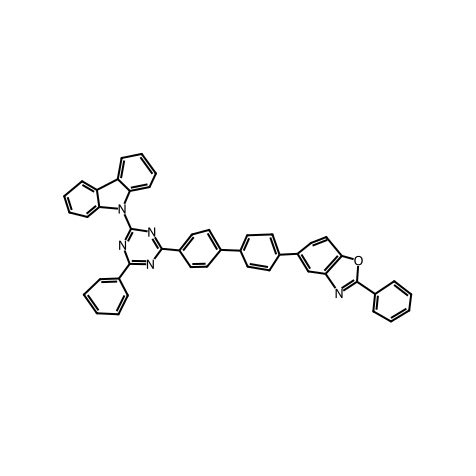 c1ccc(-c2nc(-c3ccc(-c4ccc(-c5ccc6oc(-c7ccccc7)nc6c5)cc4)cc3)nc(-n3c4ccccc4c4ccccc43)n2)cc1